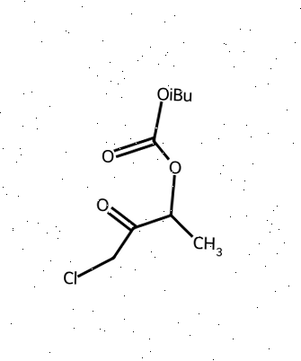 CC(C)COC(=O)OC(C)C(=O)CCl